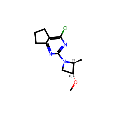 CO[C@@H]1CN(c2nc(Cl)c3c(n2)CCC3)[C@H]1C